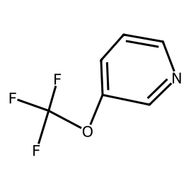 FC(F)(F)Oc1cccnc1